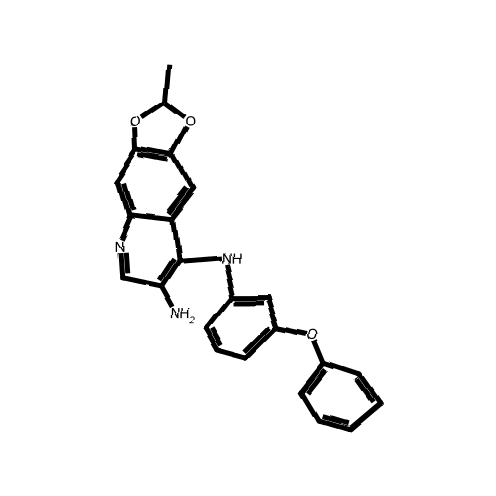 CC1Oc2cc3ncc(N)c(Nc4cccc(Oc5ccccc5)c4)c3cc2O1